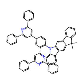 CC1(C)c2ccccc2-c2cc3c(cc21)c1ccccc1n3-c1ccc(-c2cc(-c3ccccc3)nc(-c3ccccc3)c2)cc1-c1cc(-c2ccccc2)nc(-c2ccccc2)n1